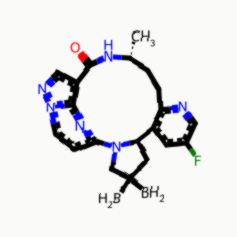 BC1(B)CC2c3cc(F)cnc3CC[C@@H](C)NC(=O)c3cnn4ccc(nc34)N2C1